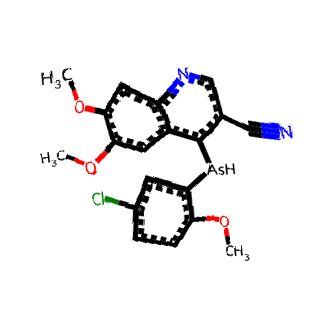 COc1cc2ncc(C#N)c([AsH]c3cc(Cl)ccc3OC)c2cc1OC